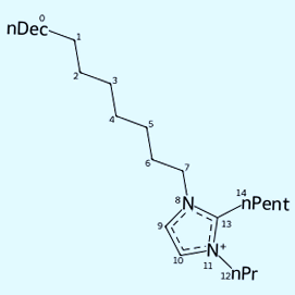 CCCCCCCCCCCCCCCCCn1cc[n+](CCC)c1CCCCC